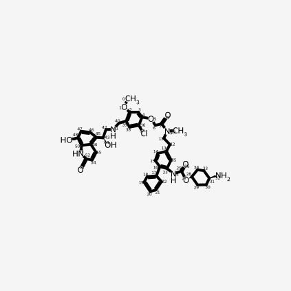 COc1cc(OCC(=O)N(C)CCc2ccc(-c3ccccc3)c(NC(=O)O[C@H]3CC[C@H](N)CC3)c2)c(Cl)cc1CNC[C@H](O)c1ccc(O)c2[nH]c(=O)ccc12